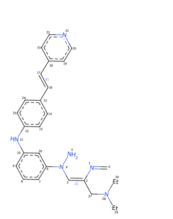 C=N/C(=C\N(N)c1cccc(Nc2ccc(/C=C/c3ccncc3)cc2)c1)CN(CC)CC